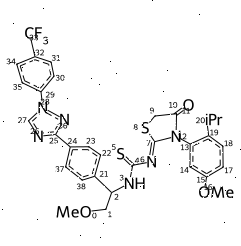 COCC(NC(=S)/N=C1\SCC(=O)N1c1cc(OC)ccc1C(C)C)c1ccc(-c2ncn(-c3ccc(C(F)(F)F)cc3)n2)cc1